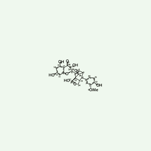 COc1cc(C2C3C=C([C@H]4Oc5cc(O)cc(O)c5C(=O)[C@@H]4O)C4C2CO[C@@]4(O)C3=O)ccc1O